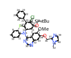 COc1cc2c(N(c3ccccc3)c3cc(O[SiH2]C(C)(C)C)c(Cl)c(-c4ccccc4)c3F)ncnc2cc1OCc1nccn1C